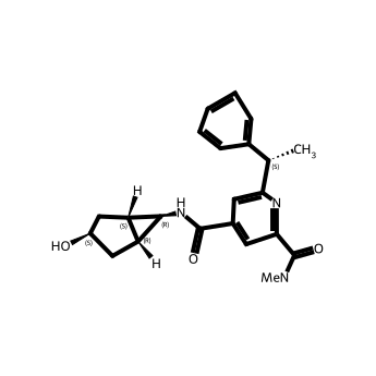 CNC(=O)c1cc(C(=O)N[C@H]2[C@@H]3C[C@@H](O)C[C@@H]32)cc([C@@H](C)c2ccccc2)n1